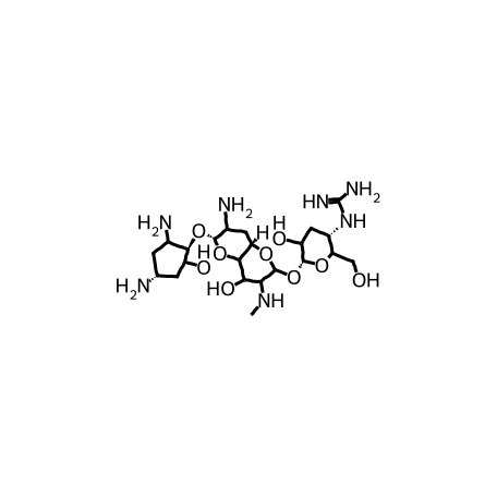 CNC1C(O[C@H]2OC(CO)[C@@H](NC(=N)N)CC2O)O[C@H]2CC(N)[C@@H](O[C@@H]3C(N)C[C@@H](N)CC3O)OC2C1O